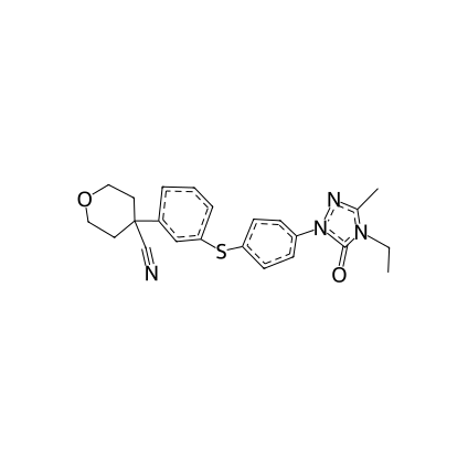 CCn1c(C)nn(-c2ccc(Sc3cccc(C4(C#N)CCOCC4)c3)cc2)c1=O